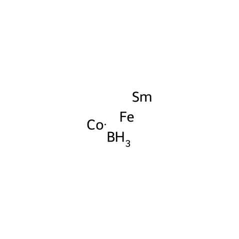 B.[Co].[Fe].[Sm]